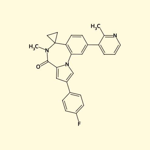 Cc1ncccc1-c1ccc2c(c1)-n1cc(-c3ccc(F)cc3)cc1C(=O)N(C)C21CC1